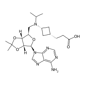 CC(C)N(C[C@H]1O[C@@H](n2cnc3c(N)ncnc32)[C@@H]2OC(C)(C)O[C@@H]21)[C@H]1C[C@@H](CCC(=O)O)C1